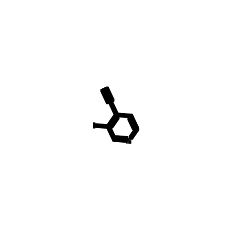 C#Cc1ccncc1I